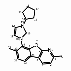 Cc1ccc2c(n1)oc1c(N3C=CN(C4CCCC4)C3)c(C)ccc12